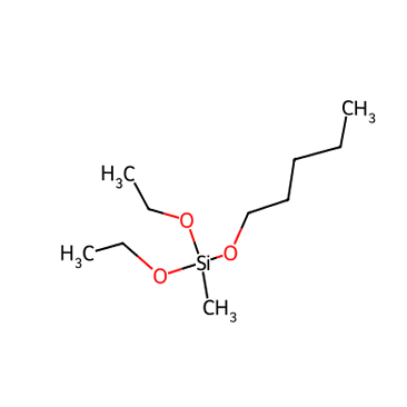 CCCCCO[Si](C)(OCC)OCC